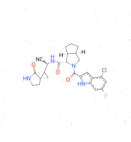 N#C[C@@H](NC(=O)[C@@H]1[C@H]2CCC[C@H]2CN1C(=O)c1cc2c(Cl)cc(F)cc2[nH]1)C1C[C@@]12CCNC2=O